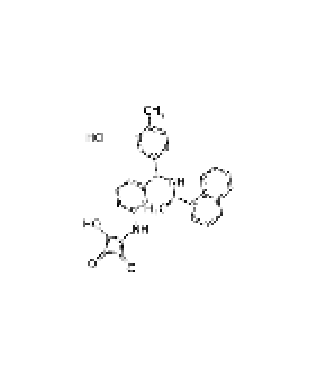 Cc1ccc(C(N[C@H](C)c2cccc3ccccc23)c2cccc(Nc3c(O)c(=O)c3=O)c2)cc1.Cl